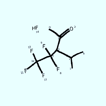 CC(=O)C(C(C)C)C(F)(F)C(F)(F)F.F